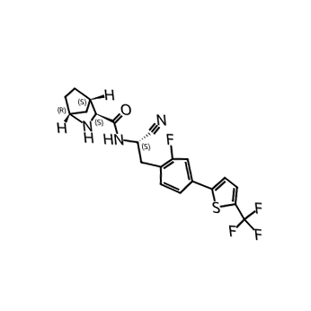 N#C[C@H](Cc1ccc(-c2ccc(C(F)(F)F)s2)cc1F)NC(=O)[C@H]1N[C@@H]2CC[C@H]1C2